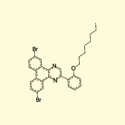 CCCCCCCCOc1ccccc1-c1cnc2c3cc(Br)ccc3c3ccc(Br)cc3c2n1